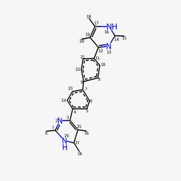 CC1=NC(c2ccc(-c3ccc(C4=NC(C)NC(C)=C4C)cc3)cc2)=C(C)C(C)N1